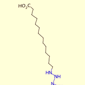 N=NNNCCCCCCCCCCCCCC(=O)O